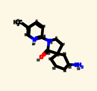 Cc1ccc(N2CCC3(CCCC(N)C3)C2=O)nc1